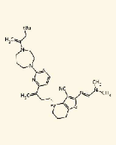 C=C(CC[C@H]1CCCc2sc(/N=C/N(C)C)c(C#N)c21)c1ccnc(N2CCCN(C(=C)CC(C)(C)C)CC2)n1